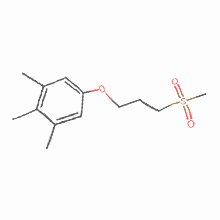 Cc1cc(OCCCS(C)(=O)=O)cc(C)c1C